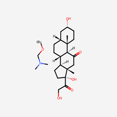 CN(C)COC(C)(C)C.C[C@]12CC[C@@H](O)C[C@H]1CC[C@@H]1[C@@H]2C(=O)C[C@@]2(C)[C@H]1CC[C@]2(O)C(=O)CO